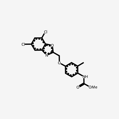 COC(=O)Nc1ccc(OCc2nc3cc(Cl)cc(Cl)c3o2)cc1C